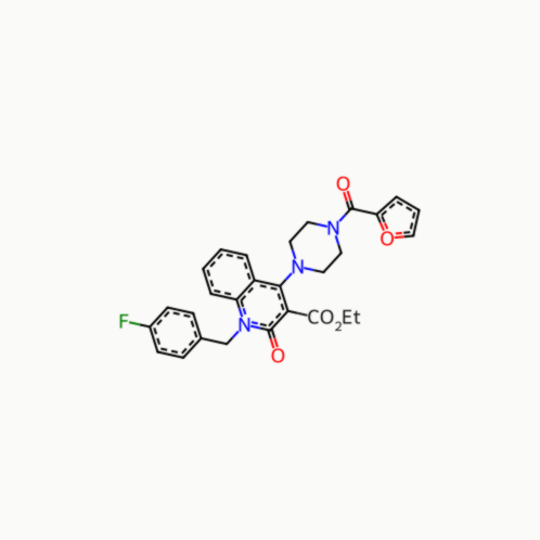 CCOC(=O)c1c(N2CCN(C(=O)c3ccco3)CC2)c2ccccc2n(Cc2ccc(F)cc2)c1=O